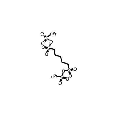 CCCS(=O)(=O)OS(=O)(=O)CCCCCS(=O)(=O)OS(=O)(=O)CCC